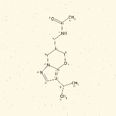 CC(=O)NCC1COc2c(C(C)C)cnn2C1